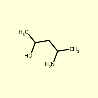 CC(N)CC(C)O